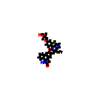 CCCc1c(Cc2ccc(-c3ccccc3-c3noc(=O)[nH]3)cc2)c(=O)n(C2CCC(OCC(C)(C)O)CC2)c2c(F)cnn12